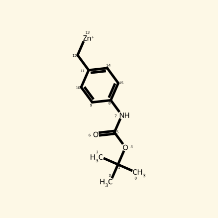 CC(C)(C)OC(=O)Nc1ccc([CH2][Zn+])cc1